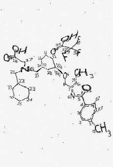 Cc1ccc(-c2nc(CO[C@@H]3CCC[C@H](CN(CC(=O)O)CC4CCCCC4)C3)c(C)o2)cc1.O=C(O)C(F)(F)F